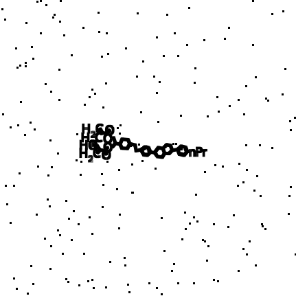 C=C(C)C(=O)OCC(COC(=O)C(=C)CO)C1CCC(CCc2ccc(C3CCC4CC(c5ccc(CCC)cc5)CCC4C3)cc2)CC1